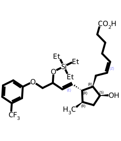 CC[Si](CC)(CC)OC(/C=C/[C@@H]1[C@@H](C/C=C\CCCC(=O)O)[C@@H](O)C[C@H]1C)COc1cccc(C(F)(F)F)c1